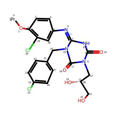 CC(C)Oc1ccc(/N=c2/[nH]c(=O)n(C[C@@H](O)CO)c(=O)n2Cc2ccc(Cl)cc2)cc1Cl